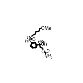 CCCCC(O)(CCOC(N)=O)c1cccc(NS(=O)(=O)CCCCCOC)c1